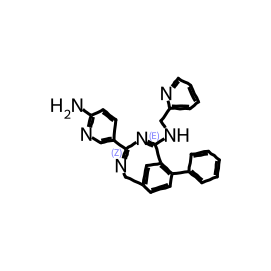 Nc1ccc(C2=N/Cc3ccc(-c4ccccc4)c(c3)/C(NCc3ccccn3)=N\2)cn1